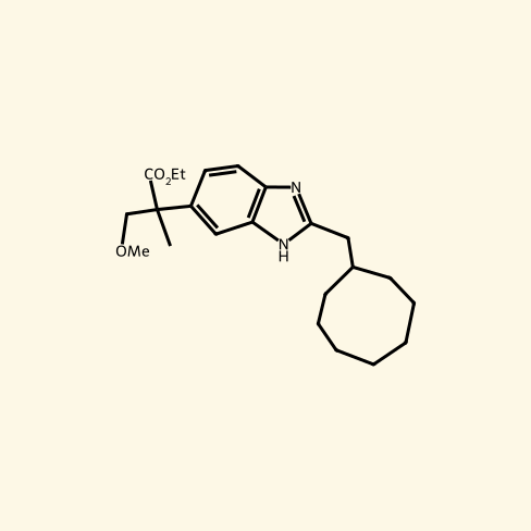 CCOC(=O)C(C)(COC)c1ccc2nc(CC3CCCCCCC3)[nH]c2c1